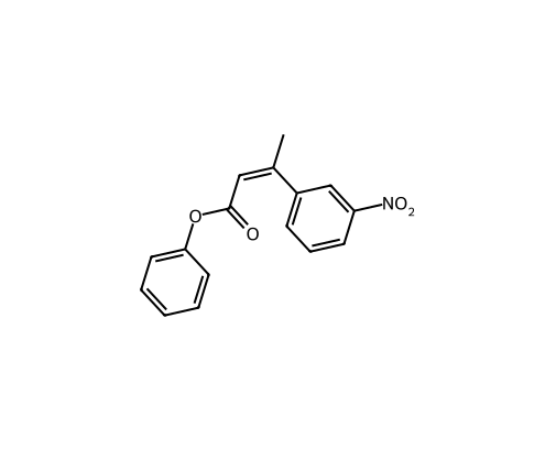 CC(=CC(=O)Oc1ccccc1)c1cccc([N+](=O)[O-])c1